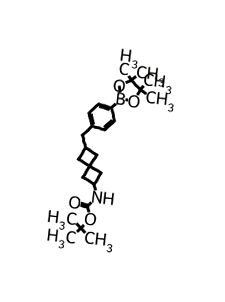 CC(C)(C)OC(=O)NC1CC2(CC(Cc3ccc(B4OC(C)(C)C(C)(C)O4)cc3)C2)C1